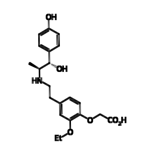 CCOc1cc(CCN[C@@H](C)[C@@H](O)c2ccc(O)cc2)ccc1OCC(=O)O